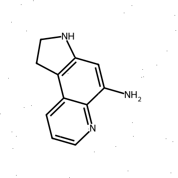 Nc1cc2c(c3cccnc13)CCN2